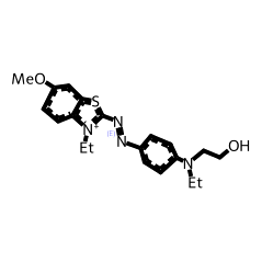 CCN(CCO)c1ccc(/N=N/c2sc3cc(OC)ccc3[n+]2CC)cc1